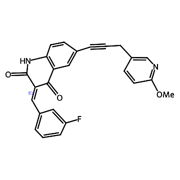 COc1ccc(CC#Cc2ccc3c(c2)C(=O)/C(=C\c2cccc(F)c2)C(=O)N3)cn1